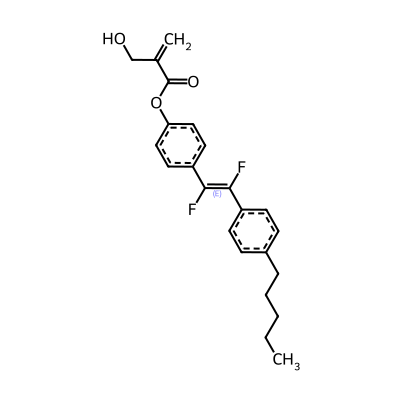 C=C(CO)C(=O)Oc1ccc(/C(F)=C(\F)c2ccc(CCCCC)cc2)cc1